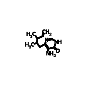 C=CC(C)C(C)Cc1nc[nH]c(=O)c1N